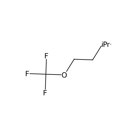 C[C](C)CCOC(F)(F)F